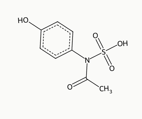 CC(=O)N(c1ccc(O)cc1)S(=O)(=O)O